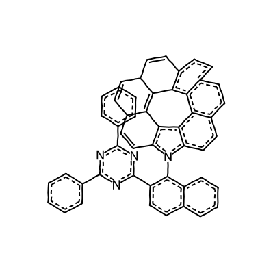 C1=CC2C=CC3C=Cc4c5c6c7c(ccc8ccc1c(c87)C2=C53)ccc6n4-c1c(-c2nc(-c3ccccc3)nc(-c3ccccc3)n2)ccc2ccccc12